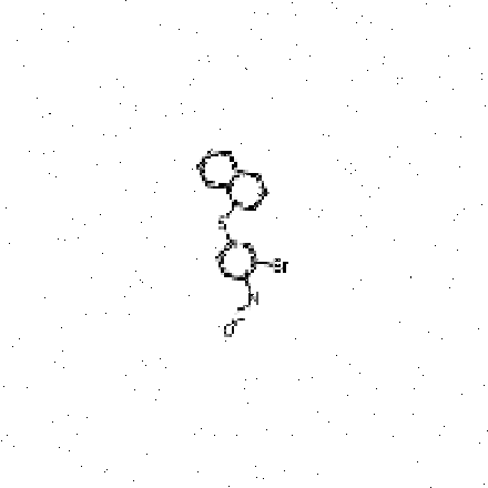 O=C=Nc1ccc(Sc2cccc3ccccc23)cc1Br